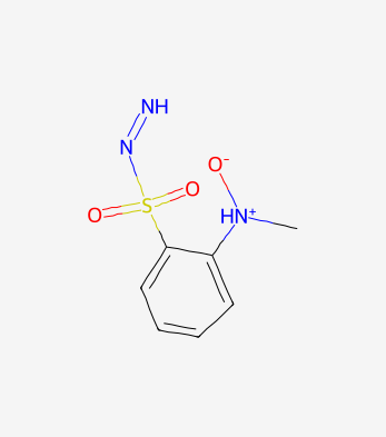 C[NH+]([O-])c1ccccc1S(=O)(=O)N=N